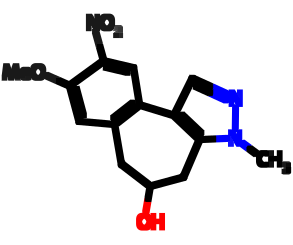 COc1cc2c(cc1[N+](=O)[O-])-c1cnn(C)c1CC(O)C2